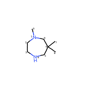 CN1CCNCC(C)(C)C1